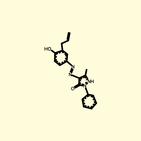 C=CCc1cc(/N=N/c2c(C)[nH]n(-c3ccccc3)c2=O)ccc1O